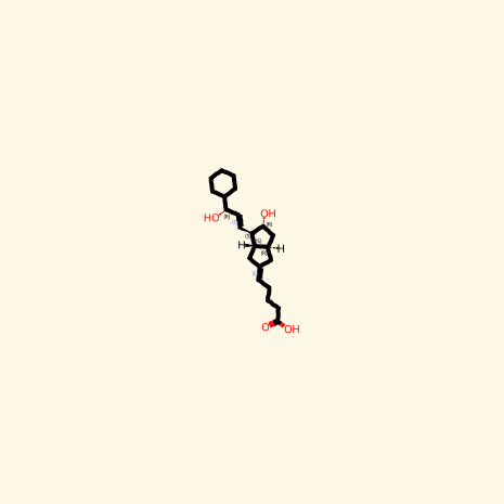 O=C(O)CCC/C=C1\C[C@@H]2C[C@@H](O)[C@H](/C=C/[C@H](O)C3CCCCC3)[C@H]2C1